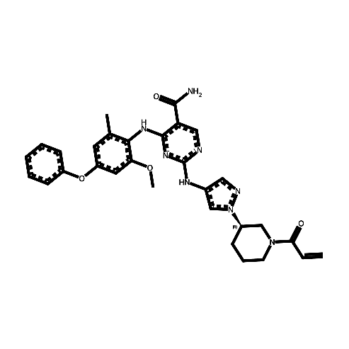 C=CC(=O)N1CCC[C@@H](n2cc(Nc3ncc(C(N)=O)c(Nc4c(C)cc(Oc5ccccc5)cc4OC)n3)cn2)C1